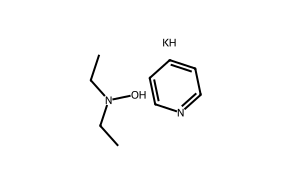 CCN(O)CC.[KH].c1ccncc1